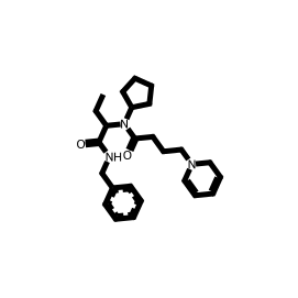 CCC(C(=O)NCc1ccccc1)N(C(=O)CCCN1C=CC=CC1)C1CCCC1